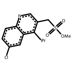 COS(=O)(=O)Cc1cnc2ccc(Cl)cc2c1C(C)C